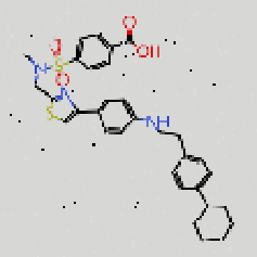 CN(Cc1nc(-c2ccc(NCCc3ccc(C4CCCCC4)cc3)cc2)cs1)S(=O)(=O)c1ccc(C(=O)O)cc1